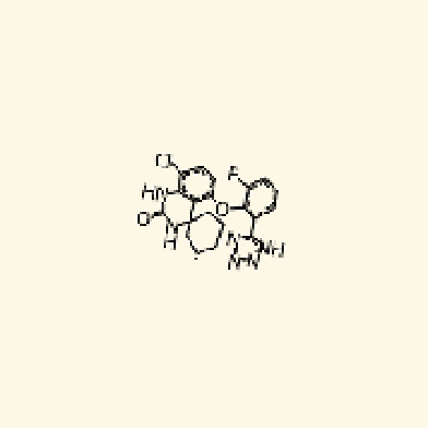 O=C1Nc2c(Cl)ccc(Oc3c(F)cccc3-c3nnn[nH]3)c2C2(C[CH]CCC2)N1